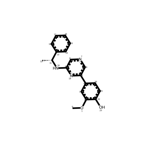 COc1cc(-c2cncc(N[C@H](C)c3ccccc3)n2)ccc1O